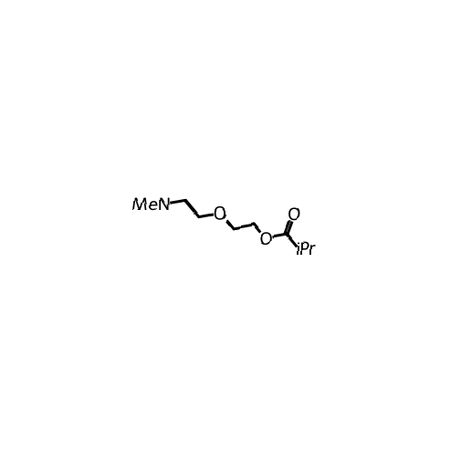 CNCCOCCOC(=O)C(C)C